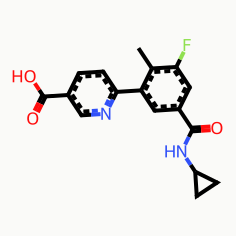 Cc1c(F)cc(C(=O)NC2CC2)cc1-c1ccc(C(=O)O)cn1